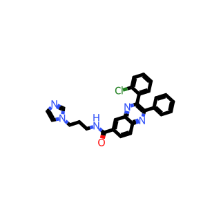 O=C(NCCCn1ccnc1)c1ccc2nc(-c3ccccc3)c(-c3ccccc3Cl)nc2c1